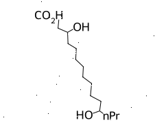 CCCC(O)CCCCCCCCC(O)CC(=O)O